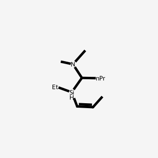 C/C=C\[SiH](CC)C(CCC)N(C)C